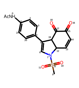 CC(=O)Nc1ccc(C2=CN(S(C)(=O)=O)C3C=CC(=O)C(=O)C23)cc1